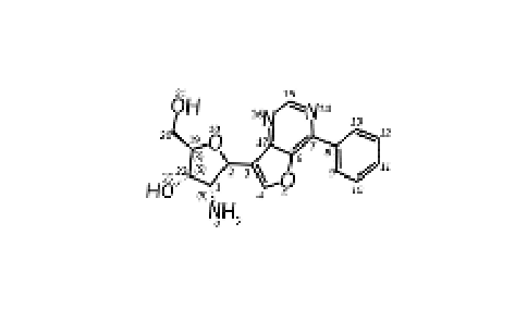 N[C@H]1C(c2coc3c(-c4ccccc4)ncnc23)O[C@H](CO)[C@H]1O